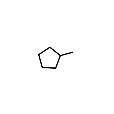 [CH2]C1[CH]CCC1